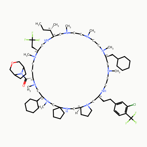 CC[C@H](C)[C@H]1CN(C)CCN(C)CCN(C)[C@@H](CC2CCCCC2)CN(C)CCN[C@@H](CCc2ccc(C(F)(F)F)c(Cl)c2)CN2CCC[C@H]2CNC2(CCCC2)CN(C)[C@@H](C2CCCCC2)CN(C)[C@H](C(=O)N2C3CCC2COC3)CCN(C)[C@@H](CC(F)(F)F)CN1